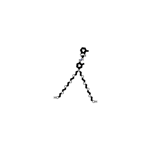 Cc1cc(N(CCOCCOCCOCCOCCO)CCOCCOCCOCCOCCO)ccc1/N=N/c1nc2c(C)cccc2s1